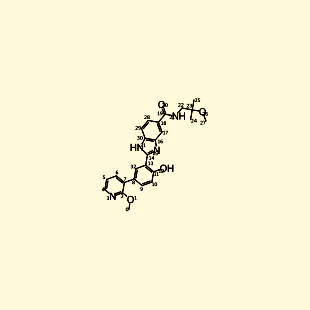 COc1ncccc1-c1ccc(O)c(-c2nc3cc(C(=O)NCC(C)(C)OC)ccc3[nH]2)c1